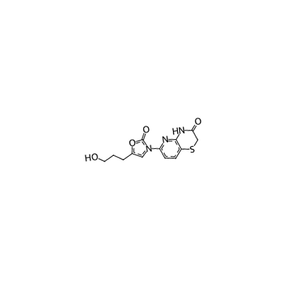 O=C1CSc2ccc(-n3cc(CCCO)oc3=O)nc2N1